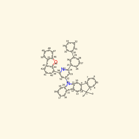 CC1(C)c2ccccc2-c2cc3c(cc21)c1ccccc1n3-c1cc(-c2cccc(-c3ccccc3)c2)nc(-c2cccc3c2oc2ccccc23)c1